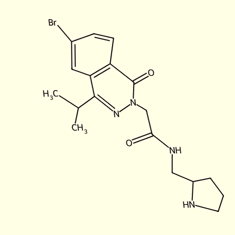 CC(C)c1nn(CC(=O)NCC2CCCN2)c(=O)c2ccc(Br)cc12